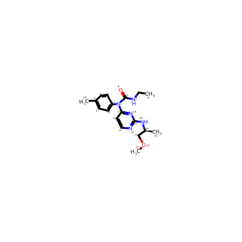 CCNC(=O)N(c1ccc(C)cc1)c1ccnc(N[C@@H](C)COC)n1